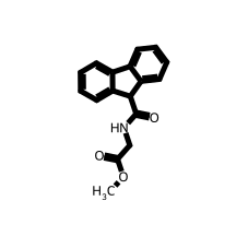 COC(=O)CNC(=O)C1c2ccccc2-c2ccccc21